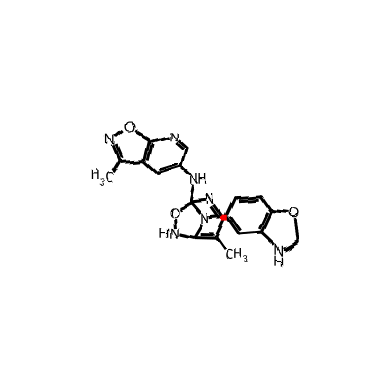 CC1=C2NOC(Nc3cnc4onc(C)c4c3)(N=C1)N2c1ccc2c(c1)NCO2